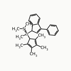 CC1=C(C)[CH]([Zr]([CH3])([CH]2C=C(c3ccccc3)c3ccccc32)=[Si](C)C)C(C)=C1C